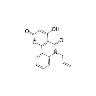 C=CCn1c(=O)c2c(O)cc(=O)oc2c2ccccc21